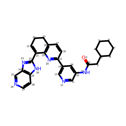 O=C(CC1CCCCC1)Nc1cncc(-c2ccc3c(n2)C(c2nc4cnccc4[nH]2)=CCC3)c1